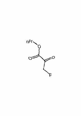 CCCOC(=O)C(=O)CF